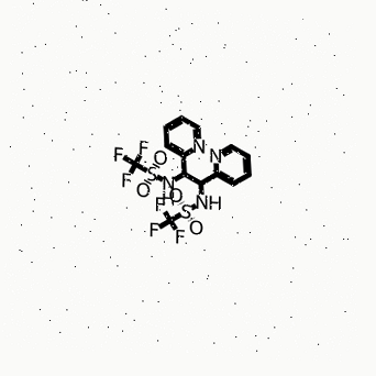 O=S(=O)(NC(c1ccccn1)C(NS(=O)(=O)C(F)(F)F)c1ccccn1)C(F)(F)F